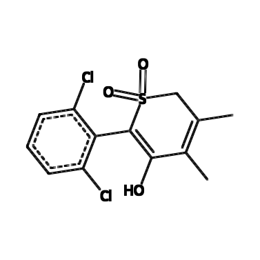 CC1=C(C)C(O)=C(c2c(Cl)cccc2Cl)S(=O)(=O)C1